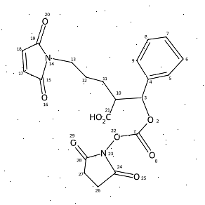 O=C(OC(c1ccccc1)C(CCCN1C(=O)C=CC1=O)C(=O)O)ON1C(=O)CCC1=O